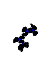 Cc1cccc(N(c2ccc(N(c3ccccc3)c3ccc(-c4ccc(N(c5ccccc5)c5ccc(N(c6cccc(C)c6)c6cccc(C)c6)cc5)cc4)cc3)cc2)c2cccc(C)c2)c1